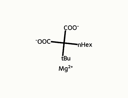 CCCCCCC(C(=O)[O-])(C(=O)[O-])C(C)(C)C.[Mg+2]